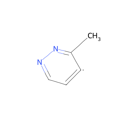 Cc1[c]ccnn1